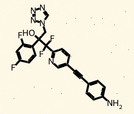 Nc1ccc(C#Cc2ccc(C(F)(F)C(O)(Cn3cnnn3)c3ccc(F)cc3F)nc2)cc1